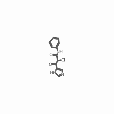 O=C(Nc1ccccc1)C(Cl)C(=O)c1cnc[nH]1